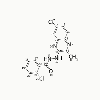 Cc1nc2ccc(Cl)cc2nc1NNC(=O)c1ccccc1Cl